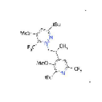 COc1c(C(C)C[n+]2nc(C(C)(C)C)cc(SC)c2C(F)(F)F)cc(C(F)(F)F)nc1C(C)(C)C